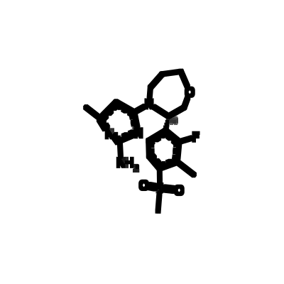 Cc1cc(N2CCCOC[C@@H]2c2ccc(S(C)(=O)=O)c(C)c2F)nc(N)n1